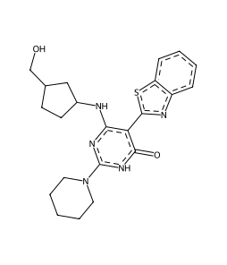 O=c1[nH]c(N2CCCCC2)nc(NC2CCC(CO)C2)c1-c1nc2ccccc2s1